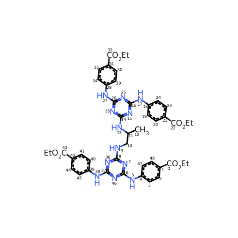 CCOC(=O)c1ccc(Nc2nc(NCC(C)Nc3nc(Nc4ccc(C(=O)OCC)cc4)nc(Nc4ccc(C(=O)OCC)cc4)n3)nc(Nc3ccc(C(=O)OCC)cc3)n2)cc1